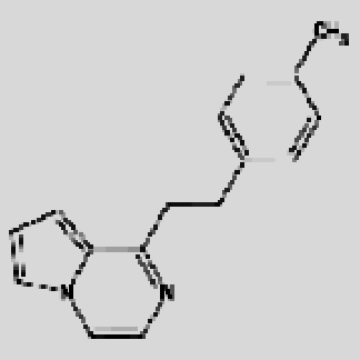 Cc1ccc(CCc2nccn3cccc23)cc1